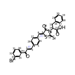 O=C(/C=C/c1ccc(/C=C2\SC(=S)N(C(Cc3ccccc3)C(=O)O)C2=O)cc1)c1cccc(Br)c1